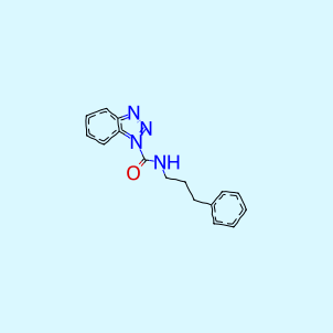 O=C(NCCCc1ccccc1)n1nnc2ccccc21